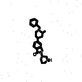 CC1CC(c2ccc3c(c2)CN(C2CCCNC2)C3=O)CCN1Cc1ccccc1